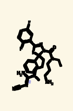 CCN(CCCN)C(=O)N1N=C(c2cc(F)ccc2F)SC1(CCCN(C)/C(N)=N/C#N)c1ccccc1